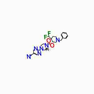 C[C@@H]1CN(c2ncc(C#N)cn2)CCN1C(=O)OC1(C(F)F)CCN(Cc2ccccc2)CC1